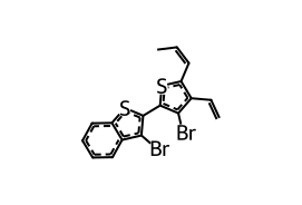 C=Cc1c(/C=C\C)sc(-c2sc3ccccc3c2Br)c1Br